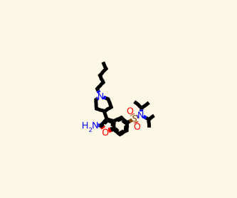 CCCCCN1CCC(c2c(N)oc3ccc(S(=O)(=O)N(C(C)C)C(C)C)cc23)CC1